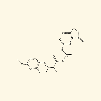 COc1ccc2cc(C(C)C(=O)O[C@H](C)OC(=O)ON3C(=O)CCC3=O)ccc2c1